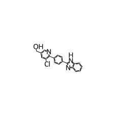 OCc1cnc(-c2ccc(-c3nc4ccccc4[nH]3)cc2)c(Cl)c1